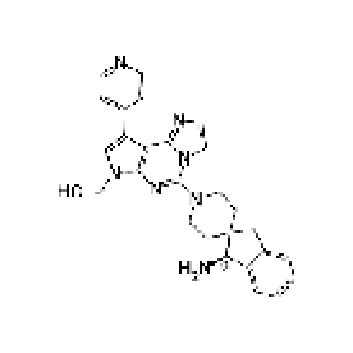 N[C@@H]1c2ccccc2CC12CCN(c1nc3c(c(-c4ccncc4)cn3CO)c3nccn13)CC2